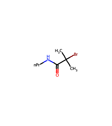 [CH2]CCNC(=O)C(C)(C)Br